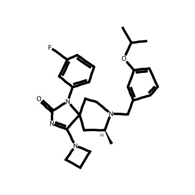 CC(C)Oc1cccc(CN2CCC3(C[C@@H]2C)C(N2CCC2)=NC(=O)N3c2cccc(F)c2)c1